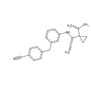 C=C=C(Nc1cccc(Cc2ccc(C#N)cc2)c1)C1(C(=C)C)CC1